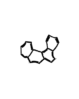 [c]1cc2c[c]c3ccccc3c2c2ccccc12